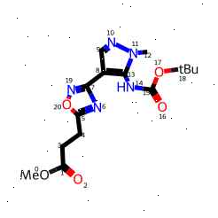 COC(=O)CCc1nc(-c2cnn(C)c2NC(=O)OC(C)(C)C)no1